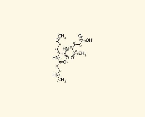 CNCCC(=O)N[C@@H](CCOC)C(=O)N[C@@H](CCC(=O)O)C(C)=O